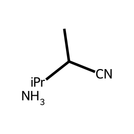 CC(C)C(C)C#N.N